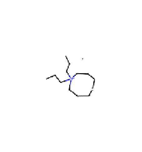 CCC[N+]1(CCC)CCCCCCC1.[I-]